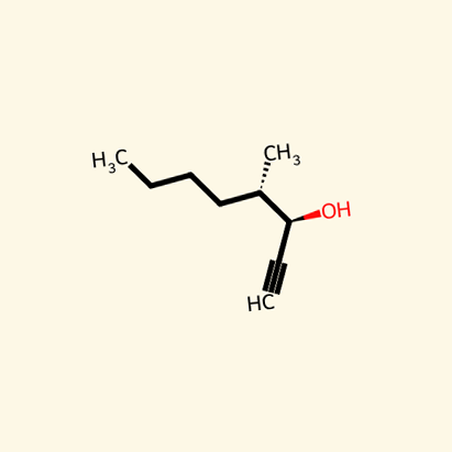 C#C[C@H](O)[C@@H](C)CCCC